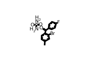 Cc1ccc(C(=O)c2ccc(F)cc2)c(Br)c1.NS(N)(=O)=O